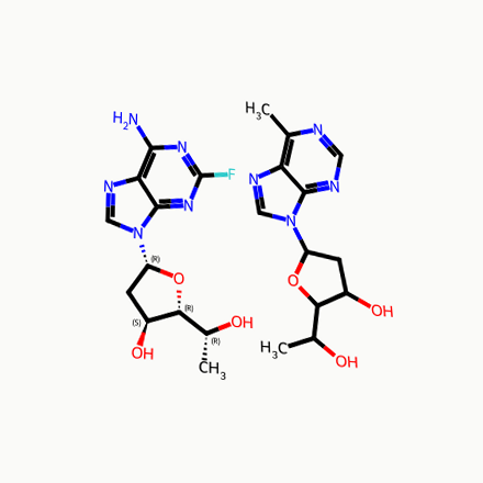 C[C@@H](O)[C@H]1O[C@@H](n2cnc3c(N)nc(F)nc32)C[C@@H]1O.Cc1ncnc2c1ncn2C1CC(O)C(C(C)O)O1